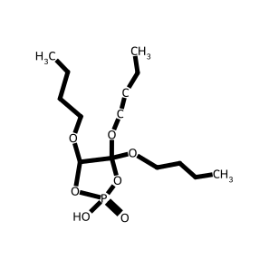 CCCCOC1OP(=O)(O)OC1(OCCCC)OCCCC